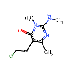 CNc1nc(C)c(CCCl)c(=O)n1C